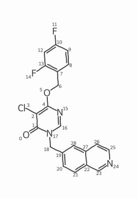 O=c1c(Cl)c(OCc2ccc(F)cc2F)ncn1Cc1ccc2cnccc2c1